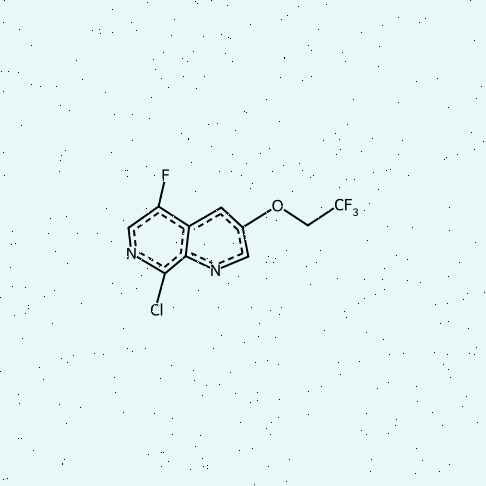 Fc1cnc(Cl)c2ncc(OCC(F)(F)F)cc12